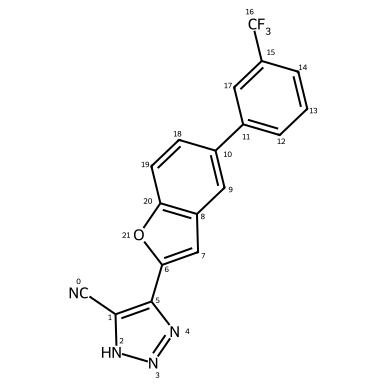 N#Cc1[nH]nnc1-c1cc2cc(-c3cccc(C(F)(F)F)c3)ccc2o1